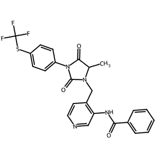 CC1C(=O)N(c2ccc(SC(F)(F)F)cc2)C(=O)N1Cc1ccncc1NC(=O)c1ccccc1